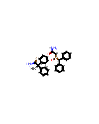 CC(C(N)=S)(c1ccccc1)c1ccccc1.NC(=O)C[S+]([O-])C(c1ccccc1)c1ccccc1